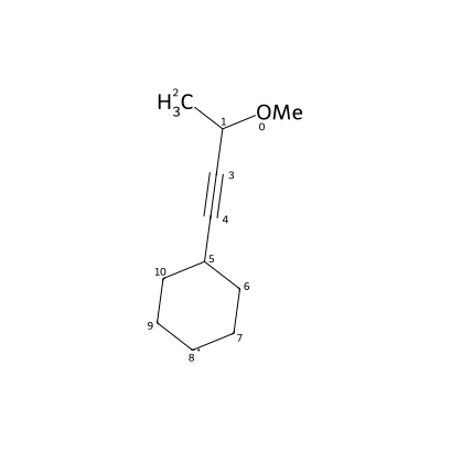 COC(C)C#CC1CC[CH]CC1